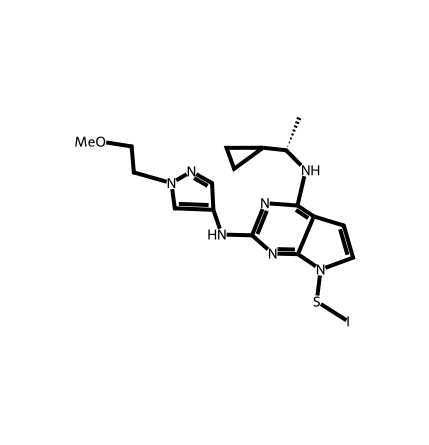 COCCn1cc(Nc2nc(N[C@@H](C)C3CC3)c3ccn(SI)c3n2)cn1